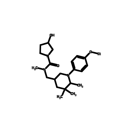 CCOc1ccc(N2CC(CN(C)C(=O)N3CCC(O)C3)CC(C)(C)C2C)cc1